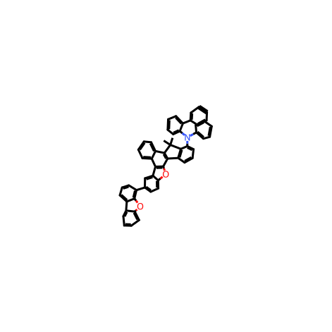 CC1(C)c2c(cccc2N(c2ccccc2)c2ccccc2-c2cc#ccc2)-c2c1c1ccccc1c1c2oc2ccc(-c3cccc4c3oc3ccccc34)cc21